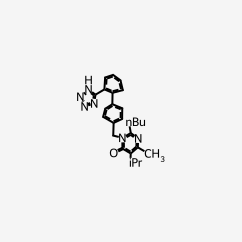 CCCCc1nc(C)c(C(C)C)c(=O)n1Cc1ccc(-c2ccccc2-c2nnn[nH]2)cc1